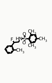 Cc1cc(C)c(S(=O)(=O)NCC(F)c2ccccc2C)c(C)c1